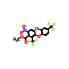 COC(=O)c1c([N+](=O)[O-])ccc(Oc2ccc(C(F)(F)F)cc2Cl)c1C(F)(F)F